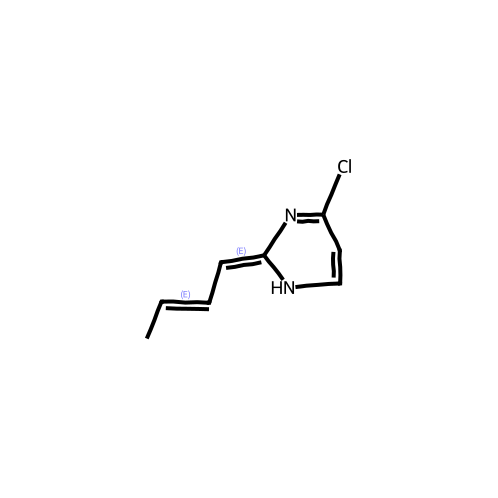 C/C=C/C=C1/N=C(Cl)C=CN1